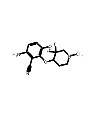 CN1CCC(Oc2c(O)ccc(N)c2C#N)C(F)(F)C1